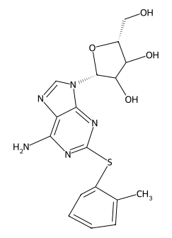 Cc1ccccc1Sc1nc(N)c2ncn([C@@H]3O[C@H](CO)C(O)C3O)c2n1